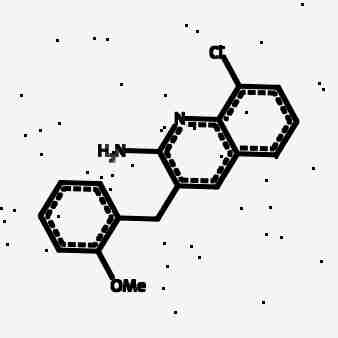 COc1ccccc1Cc1cc2cccc(Cl)c2nc1N